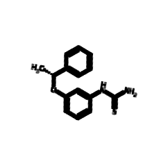 C[C@@H](Oc1cccc(NC(N)=S)c1)c1ccccc1